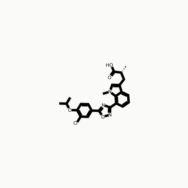 CC(C)Oc1ccc(-c2nc(-c3cccc4c(C[C@@H](C)C(=O)O)cn(C)c34)no2)cc1Cl